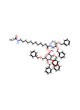 CC[C@@H](OCc1ccccc1)[C@@H](OCc1ccccc1)[C@H](COC1OC(COCc2ccccc2)C(OCc2ccccc2)C(OCc2ccccc2)C1OCc1ccccc1)NC(=O)CCCCCCCCCCCNC(=O)C(C)(C)C